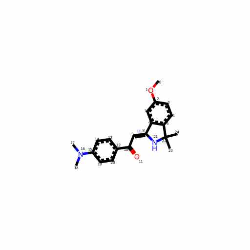 COc1ccc2c(c1)/C(=C/C(=O)c1ccc(N(C)C)cc1)NC2(C)C